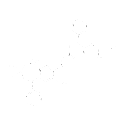 CCCCC1(CCCC)CN(c2ccccc2)c2cc(SC)c(OCC(=O)N[C@@H](C(=O)N[C@@H](C)C(=O)OCC)c3ccccc3)cc2S(=O)(=O)C1